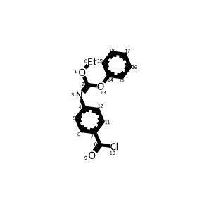 CCOC(=Nc1ccc(C(=O)Cl)cc1)Oc1ccccc1